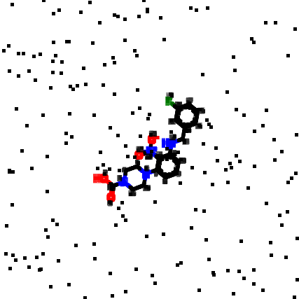 O=C(O)N1CCN(c2cccc(NCc3cccc(F)c3)c2[N+](=O)[O-])CC1